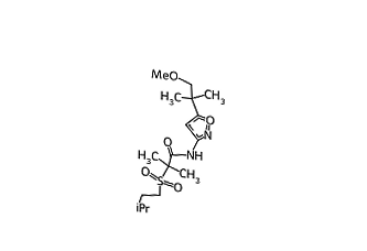 COCC(C)(C)c1cc(NC(=O)C(C)(C)S(=O)(=O)CCC(C)C)no1